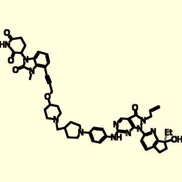 C=CCn1c(=O)c2cnc(Nc3ccc(N4CCC(CN5CCC(OCC#Cc6cccc7c6n(C)c(=O)n7C6CCC(=O)NC6=O)CC5)CC4)cc3)nc2n1-c1ccc2c(n1)[C@](O)(CC)CC2